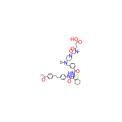 CCC(=O)c1ccc(CCc2ccc(NC(=O)c3c(NC(=O)c4cccc(CN(C5CC5)C5CCN(C(=O)CN(C)C(=O)CCC(=O)O)CC5)c4)sc4c3CCCC4)cc2)cc1